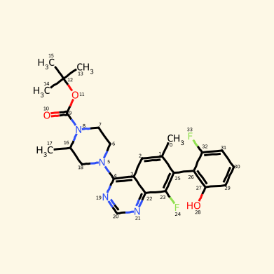 Cc1cc2c(N3CCN(C(=O)OC(C)(C)C)C(C)C3)ncnc2c(F)c1-c1c(O)cccc1F